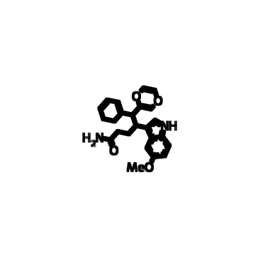 COc1ccc2[nH]cc(C(CCC(N)=O)C(C3=CC=CCC3)C3=COC=CO3)c2c1